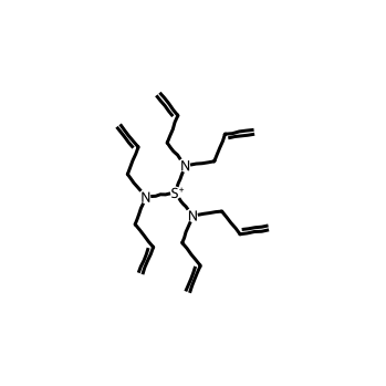 C=CCN(CC=C)[S+](N(CC=C)CC=C)N(CC=C)CC=C